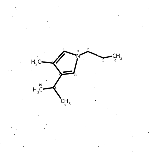 CCCn1cc(C)c(C(C)C)c1